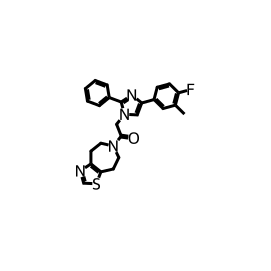 Cc1cc(-c2cn(CC(=O)N3CCc4ncsc4CC3)c(-c3ccccc3)n2)ccc1F